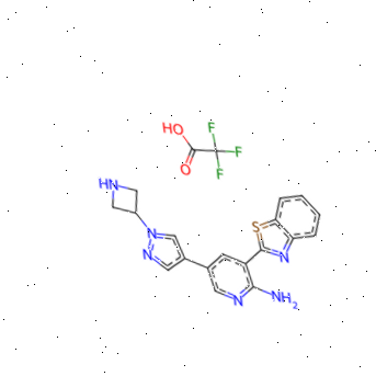 Nc1ncc(-c2cnn(C3CNC3)c2)cc1-c1nc2ccccc2s1.O=C(O)C(F)(F)F